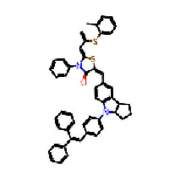 C=C(/C=c1\s/c(=C/c2ccc3c(c2)C2CCCC2N3c2ccc(C=C(c3ccccc3)c3ccccc3)cc2)c(=O)n1-c1ccccc1)Sc1ccccc1C